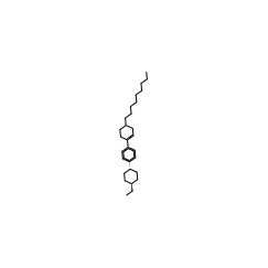 CCCCCCCCCC1CC=C(c2ccc([C@H]3CC[C@H](CC)CC3)cc2)CC1